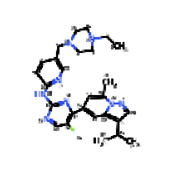 CCN1CCN(Cc2ccc(Nc3ncc(F)c(-c4cc(C)n5ncc(C(C)C)c5c4)n3)nc2)CC1